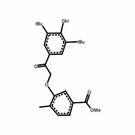 COC(=O)c1ccc(C)c(OCC(=O)c2cc(C(C)(C)C)c(O)c(C(C)(C)C)c2)c1